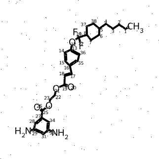 CCCCCC1CCC(C(F)(F)Oc2ccc(C=CC(=O)OCCOC(=O)c3cc(N)cc(N)c3)cc2)CC1